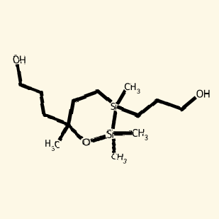 CC1(CCCO)CC[Si](C)(CCCO)[Si](C)(C)O1